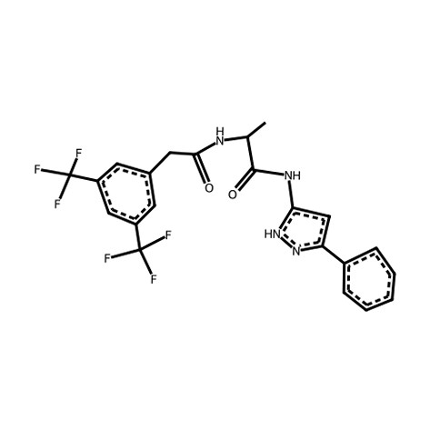 CC(NC(=O)Cc1cc(C(F)(F)F)cc(C(F)(F)F)c1)C(=O)Nc1cc(-c2ccccc2)n[nH]1